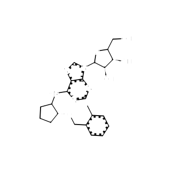 Cc1ccccc1CO[C@@H]1CCCC1Nc1ncnc2c1ncn2C1OC(CO)[C@@H](O)[C@H]1O